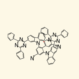 N#Cc1cccc(-c2c(-n3c4ccccc4c4ccc(-c5nc(-c6ccccc6)nc(-c6ccccc6)n5)cc43)cc(C#N)cc2-n2c3ccccc3c3ccc(-c4nc(-c5ccccc5)nc(-c5ccccc5)n4)cc32)c1